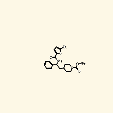 CCc1ccc(C(=O)NC(CC2CCN(C(=O)OC(C)C)CC2)c2ccccc2)s1